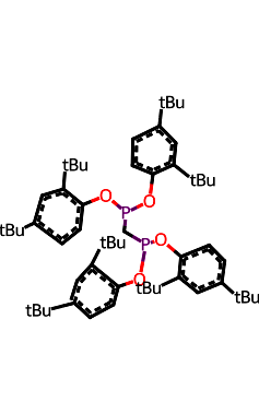 CC(C)(C)c1ccc(OP(CP(Oc2ccc(C(C)(C)C)cc2C(C)(C)C)Oc2ccc(C(C)(C)C)cc2C(C)(C)C)Oc2ccc(C(C)(C)C)cc2C(C)(C)C)c(C(C)(C)C)c1